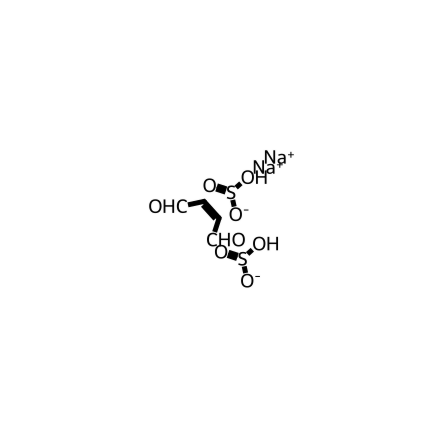 O=C/C=C\C=O.O=S([O-])O.O=S([O-])O.[Na+].[Na+]